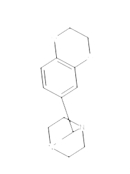 c1cc2c(cc1C1CN3CCN1CC3)OCCO2